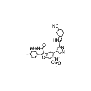 CNC(=O)c1c(-c2ccc(C)cc2)oc2cc(N(C)S(C)(=O)=O)c(-c3cnnc(-c4cc5ccc(C#N)cc5[nH]4)c3)cc12